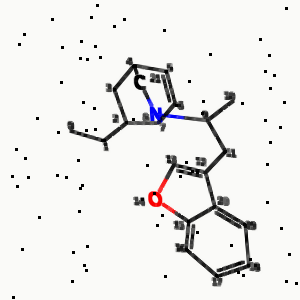 CCC1CC2C=CC1N(C(C)Cc1coc3ccccc13)C2